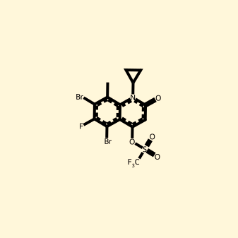 Cc1c(Br)c(F)c(Br)c2c(OS(=O)(=O)C(F)(F)F)cc(=O)n(C3CC3)c12